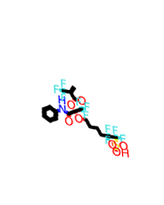 C=C(C(=O)OC(OCCCCC(F)(F)C(F)(F)S(=O)(=O)O)(C(=O)Nc1ccccc1)C(F)(F)F)C(F)(F)F